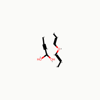 CC#CC(O)O.CC=COC=CC